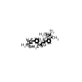 C[SiH2]OC(C)[SiH](C)c1cccc(N(C)C(=O)CC(=O)N(C)c2cccc([SiH](C)CC[SiH](C)O)c2)c1